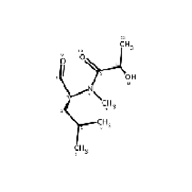 CC(C)C[C@@H]([C]=O)N(C)C(=O)C(C)O